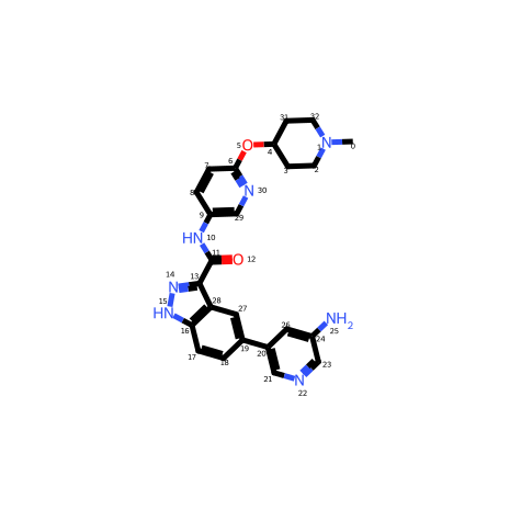 CN1CCC(Oc2ccc(NC(=O)c3n[nH]c4ccc(-c5cncc(N)c5)cc34)cn2)CC1